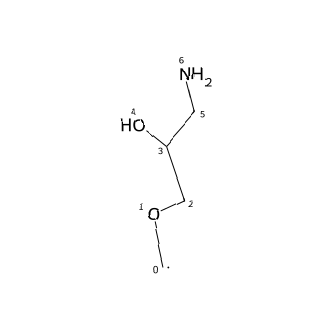 [CH2]OCC(O)CN